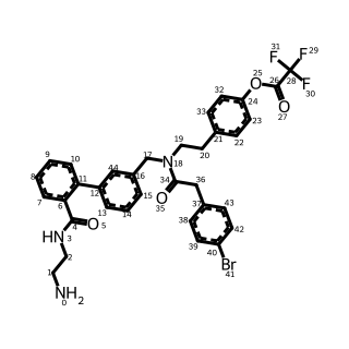 NCCNC(=O)c1ccccc1-c1cccc(CN(CCc2ccc(OC(=O)C(F)(F)F)cc2)C(=O)Cc2ccc(Br)cc2)c1